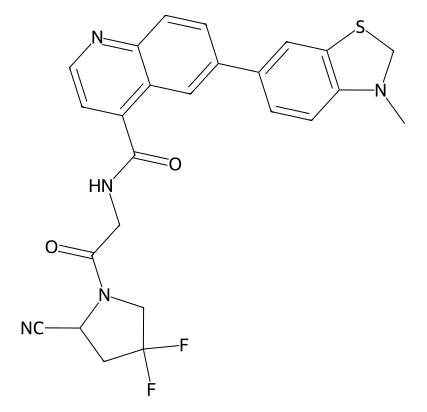 CN1CSc2cc(-c3ccc4nccc(C(=O)NCC(=O)N5CC(F)(F)CC5C#N)c4c3)ccc21